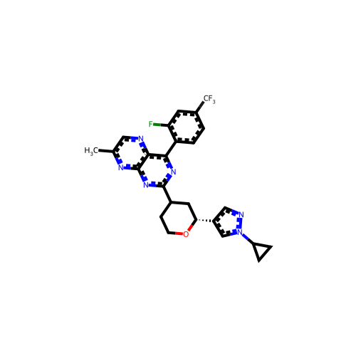 Cc1cnc2c(-c3ccc(C(F)(F)F)cc3F)nc(C3CCO[C@@H](c4cnn(C5CC5)c4)C3)nc2n1